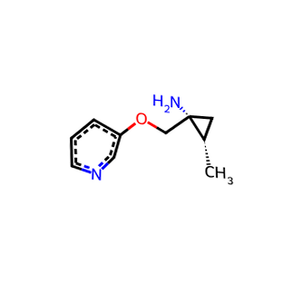 C[C@H]1C[C@]1(N)COc1cccnc1